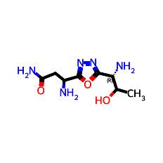 CC(O)[C@@H](N)c1nnc(C(N)CC(N)=O)o1